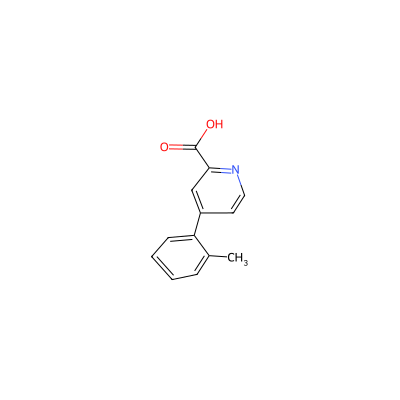 Cc1ccccc1-c1ccnc(C(=O)O)c1